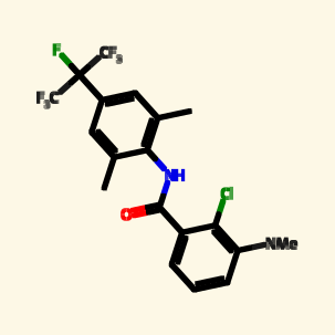 CNc1cccc(C(=O)Nc2c(C)cc(C(F)(C(F)(F)F)C(F)(F)F)cc2C)c1Cl